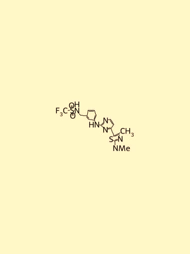 CNc1nc(C)c(-c2ccnc(Nc3cccc(CNS(=O)(=O)C(F)(F)F)c3)n2)s1